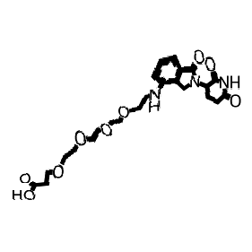 O=C(O)CCOCCOCCOCCOCCNc1cccc2c1CN(C1CCC(=O)NC1=O)C2=O